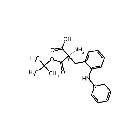 CC(C)(C)OC(=O)[C@](N)(Cc1ccccc1NN1C=CC=CC1)C(=O)O